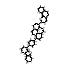 c1cnc2c(c1)ccc1ccc(-c3ccc4ccc5c(-c6ccc(-c7cccc8c7oc7ccccc78)cc6)ccc6ccc3c4c65)nc12